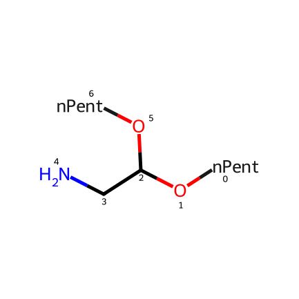 CCCCCOC(CN)OCCCCC